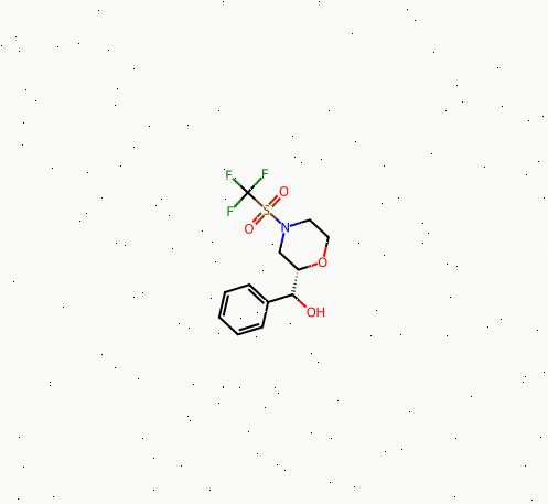 O=S(=O)(N1CCO[C@H](C(O)c2ccccc2)C1)C(F)(F)F